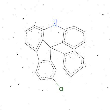 Clc1ccc2c(c1)C1(c3ccccc3)c3ccccc3Nc3cccc-2c31